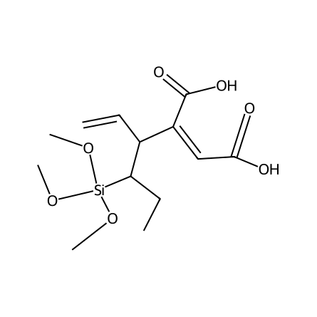 C=CC(C(=CC(=O)O)C(=O)O)C(CC)[Si](OC)(OC)OC